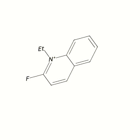 CC[n+]1c(F)ccc2ccccc21